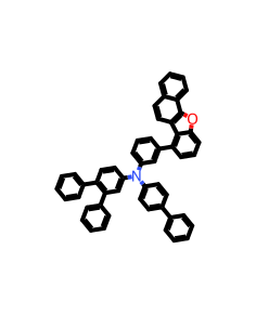 c1ccc(-c2ccc(N(c3cccc(-c4cccc5oc6c7ccccc7ccc6c45)c3)c3ccc(-c4ccccc4)c(-c4ccccc4)c3)cc2)cc1